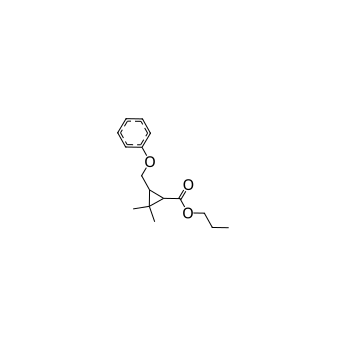 CCCOC(=O)C1C(COc2ccccc2)C1(C)C